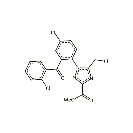 COC(=O)c1nc(CCl)n(-c2ccc(Cl)cc2C(=O)c2ccccc2Cl)n1